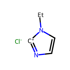 CCN1[C+]=NC=C1.[Cl-]